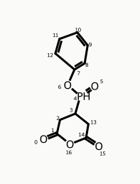 O=C1CC([PH](=O)Oc2ccccc2)CC(=O)O1